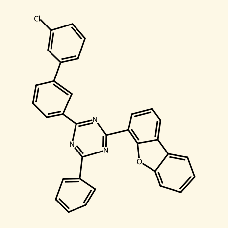 Clc1cccc(-c2cccc(-c3nc(-c4ccccc4)nc(-c4cccc5c4oc4ccccc45)n3)c2)c1